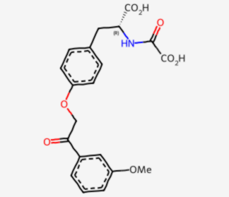 COc1cccc(C(=O)COc2ccc(C[C@@H](NC(=O)C(=O)O)C(=O)O)cc2)c1